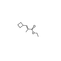 CCOC(=O)/C(C)=C/C1CCC1